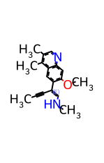 CC#C/C(=C\NC)c1cc2c(C)c(C)cnc2cc1OC